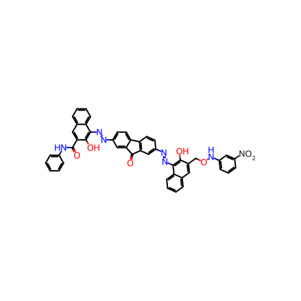 O=C1c2cc(N=Nc3c(O)c(CONc4cccc([N+](=O)[O-])c4)cc4ccccc34)ccc2-c2ccc(N=Nc3c(O)c(C(=O)Nc4ccccc4)cc4ccccc34)cc21